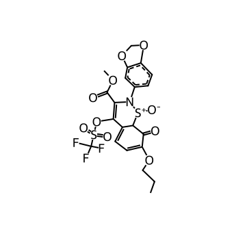 CCCOC1=CC=C2C(OS(=O)(=O)C(F)(F)F)=C(C(=O)OC)N(c3ccc4c(c3)OCO4)[S+]([O-])C2C1=O